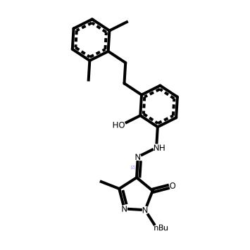 CCCCN1N=C(C)/C(=N/Nc2cccc(CCc3c(C)cccc3C)c2O)C1=O